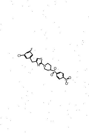 O=[N+]([O-])c1ccc(S(=O)(=O)C2CCN(c3nc(Cc4cc(F)cc(Cl)c4)cs3)CC2)cc1